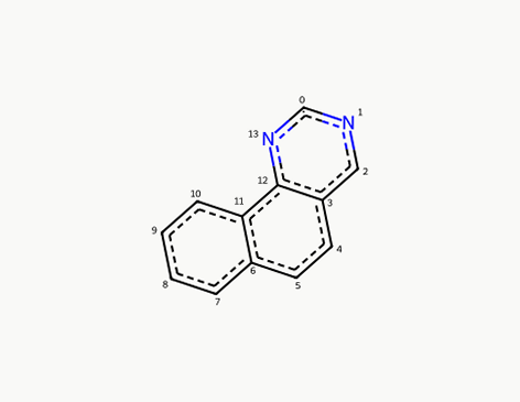 [c]1ncc2ccc3ccccc3c2n1